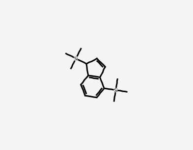 C[Si](C)(C)c1cccc2c1C=[C]C2[Si](C)(C)C